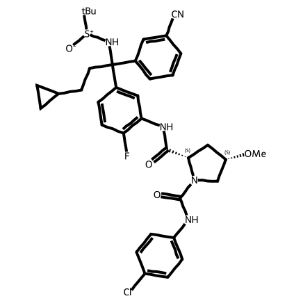 CO[C@H]1C[C@@H](C(=O)Nc2cc(C(CCC3CC3)(N[S+]([O-])C(C)(C)C)c3cccc(C#N)c3)ccc2F)N(C(=O)Nc2ccc(Cl)cc2)C1